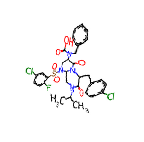 CC(C)N1CC2N(C(=O)C(N(Cc3ccccc3)C(=O)O)CN2S(=O)(=O)c2cc(Cl)ccc2F)C(Cc2ccc(Cl)cc2)C1=O